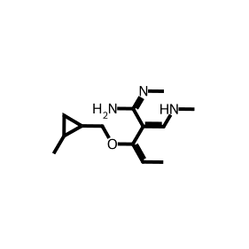 C\C=C(OCC1CC1C)/C(=C/NC)C(/N)=N\C